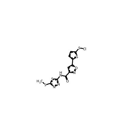 CSc1nnc(NC(=O)c2cc(-c3ccc(SCl)s3)on2)s1